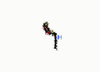 CCCCCCCCNc1ccc(-c2cc3oc4cc5oc6ccsc6c5cc4c3s2)s1